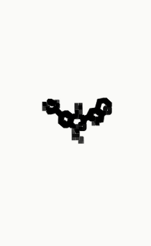 Nc1ccc(-c2cncs2)cc1NC(=O)c1cc2c(cn1)OCCC2